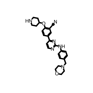 N#Cc1cc(-c2ccnc(Nc3ccc(CN4CCOCC4)cc3)n2)ccc1OC1CCNCC1